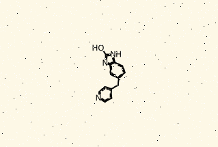 Oc1nc2cc(Cc3ccncc3)ccc2[nH]1